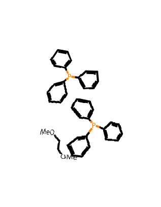 COCCOC.c1ccc(P(c2ccccc2)c2ccccc2)cc1.c1ccc(P(c2ccccc2)c2ccccc2)cc1